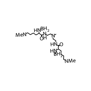 BNC(CCCCNC)C(=O)NCCN(C)CCNC(=O)C(CCCCNC)NB